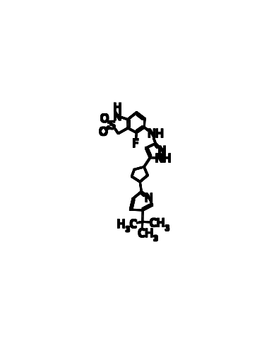 CC(C)(C)c1ccc(C2CCC(c3cc(Nc4ccc5c(c4F)CS(=O)(=O)N5)n[nH]3)C2)nc1